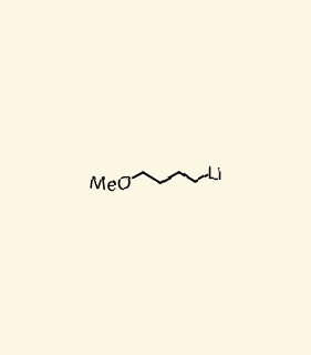 [Li][CH2]CCCOC